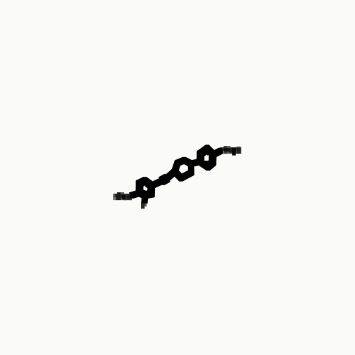 CCCCCCCc1ccc(C2CCC(C#Cc3ccc(CCCCCC)c(F)c3)CC2)cc1